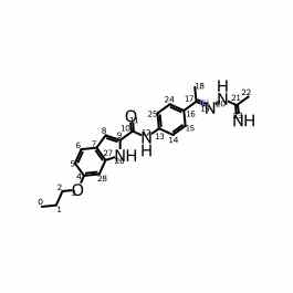 CCCOc1ccc2cc(C(=O)Nc3ccc(/C(C)=N/NC(C)=N)cc3)[nH]c2c1